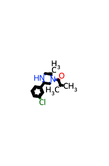 CC(C)C(=O)N1CC(c2cccc(Cl)c2)NC[C@H]1C